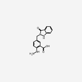 NNc1ccc(Cn2[nH]c3ccccc3c2=O)cc1C(=O)O